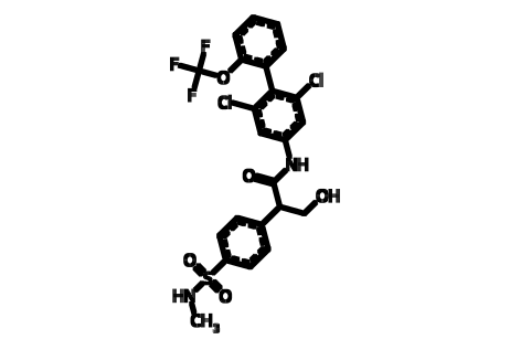 CNS(=O)(=O)c1ccc(C(CO)C(=O)Nc2cc(Cl)c(-c3ccccc3OC(F)(F)F)c(Cl)c2)cc1